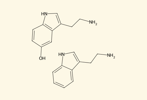 NCCc1c[nH]c2ccc(O)cc12.NCCc1c[nH]c2ccccc12